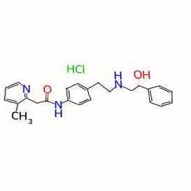 Cc1cccnc1CC(=O)Nc1ccc(CCNC[C@H](O)c2ccccc2)cc1.Cl